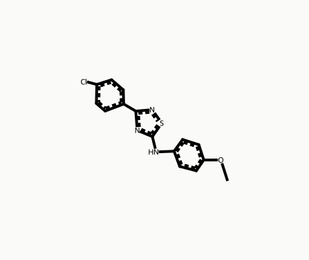 COc1ccc(Nc2nc(-c3ccc(Cl)cc3)ns2)cc1